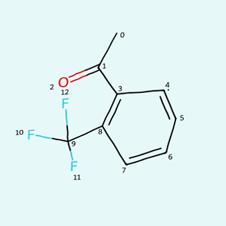 CC(=O)c1[c]cccc1C(F)(F)F